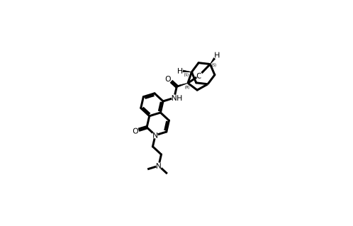 CN(C)CCn1ccc2c(NC(=O)[C@@]34CC5C[C@@H](C[C@@H]3C5)C4)cccc2c1=O